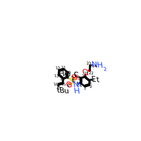 CCc1ccc(NS(=O)(=O)c2ccccc2C=CC(C)(C)C)c(C(=O)O)c1OCCN